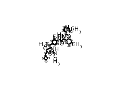 CCC(=O)NC(C(=O)NCC1CCC1)C(C)c1ccc(NC(=O)[C@@H](NC(=O)c2ccnn2CC)[C@H]2CC[C@H](C)CC2)c(F)c1